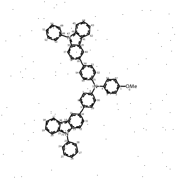 COc1ccc(N(c2ccc(-c3ccc4c(c3)c3ccccc3n4-c3ccccc3)cc2)c2ccc(-c3ccc4c(c3)c3ccccc3n4-c3ccccc3)cc2)cc1